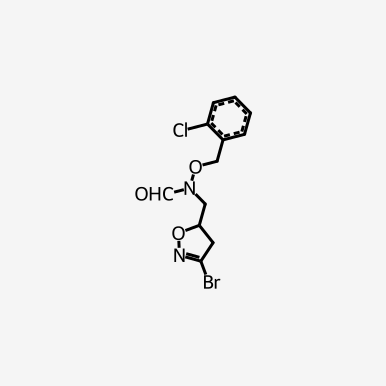 O=CN(CC1CC(Br)=NO1)OCc1ccccc1Cl